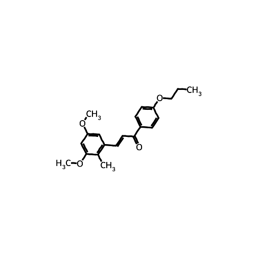 CCCOc1ccc(C(=O)C=Cc2cc(OC)cc(OC)c2C)cc1